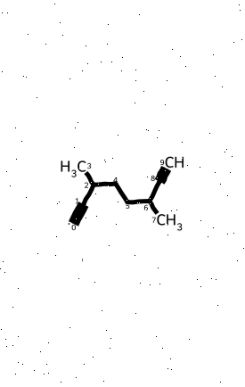 [C]#CC(C)CCC(C)C#C